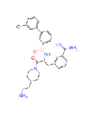 N=C(N)c1cccc(CC(N[S+]([O-])c2cccc(-c3cccc(Cl)c3)c2)C(=O)N2CCC(CCN)CC2)c1